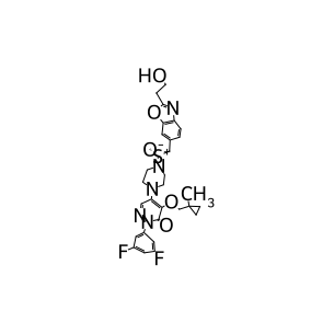 CC1(COc2c(N3CCN([S@+]([O-])Cc4ccc5nc(CCO)oc5c4)CC3)cnn(-c3cc(F)cc(F)c3)c2=O)CC1